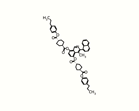 CCCc1ccc(OC(=O)[C@H]2CC[C@H](C(=O)Oc3ccc(OC(=O)[C@H]4CC[C@H](C(=O)Oc5ccc(CCC)cc5)CC4)c4c(C)c(-c5cccc6ccccc56)ncc34)CC2)cc1